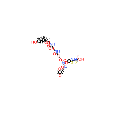 CC1=C(C)C(=O)C(C(C)(C)CC(=O)N(C)CCN(CCOCCOCCC(=O)NCCCCC(NC(=O)CC[C@@H](C)[C@H]2CC[C@H]3[C@@H]4CC[C@@H]5C[C@H](O)CC[C@]5(C)[C@H]4C[C@H](O)[C@@H]32)C(=O)O)C(=O)Oc2ccc3nc(C4=NC(C(=O)O)CS4)sc3c2)=C(C)C1=O